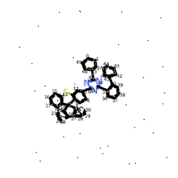 c1ccc(-c2nc(-c3ccc4c(c3)Sc3ccccc3C43c4ccccc4-c4ccccc43)nc(-c3ccccc3-c3ccccc3)n2)cc1